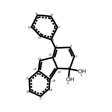 OC1(O)C=CC(c2ccccc2)=C2C=c3ccccc3=C21